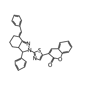 O=c1oc2ccccc2cc1-c1cnc(N2N=C3/C(=C/c4ccccc4)CCCC3C2c2ccccc2)s1